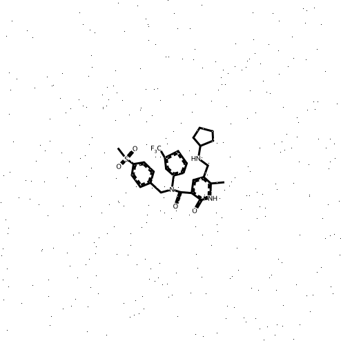 Cc1[nH]c(=O)c(C(=O)N(Cc2ccc(S(C)(=O)=O)cc2)c2cccc(C(F)(F)F)c2)cc1CNC1CCCC1